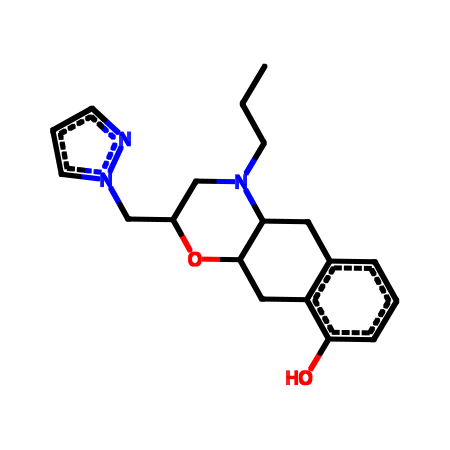 CCCN1CC(Cn2cccn2)OC2Cc3c(O)cccc3CC21